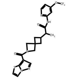 CC(C(=O)Nc1cc(OC(F)(F)F)ccn1)C1CC2(C1)CN(C(=O)c1cnn3ccsc13)C2